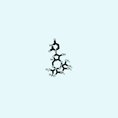 CC(C)[Si]1(C(C)C)OC[C@H]2O[C@@H](n3ccc(=O)[nH]c3=O)C(O)C2O[Si](C(C)C)(C(C)C)O1